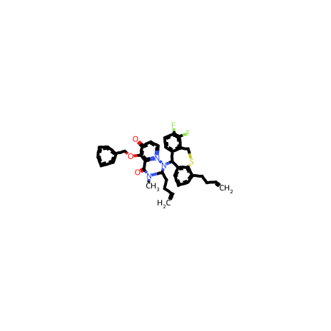 C=CCCc1cccc2c1SCc1c(ccc(F)c1F)C2N1C(CCC=C)N(C)C(=O)c2c(OCc3ccccc3)c(=O)ccn21